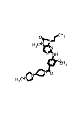 CCCN1CC(=O)N(C)c2cnc(Nc3ccc(C(=O)N4CCC(N5CCN(C)CC5)CC4)cc3OC)nc21